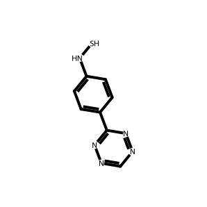 SNc1ccc(-c2nncnn2)cc1